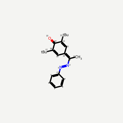 CC(N=Nc1ccccc1)=C1C=C(C(C)(C)C)C(=O)C(C(C)(C)C)=C1